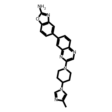 Cc1cn(C2CCN(c3cnc4ccc(-c5ccc6oc(N)nc6c5)cc4n3)CC2)cn1